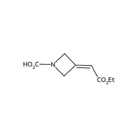 CCOC(=O)C=C1CN(C(=O)O)C1